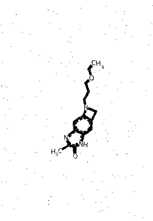 CCOCCCN1Cc2cc3[nH]c(=O)c(C)nc3cc21